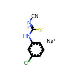 N#C/N=C(\[S-])Nc1cccc(Cl)c1.[Na+]